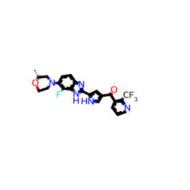 C[C@@H]1CN(c2ccc3nc(-c4cc(C(=O)c5cccnc5C(F)(F)F)c[nH]4)[nH]c3c2F)CCO1